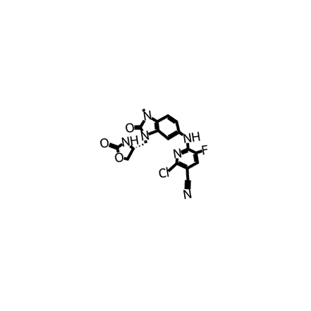 Cn1c(=O)n(C[C@@H]2COC(=O)N2)c2cc(Nc3nc(Cl)c(C#N)cc3F)ccc21